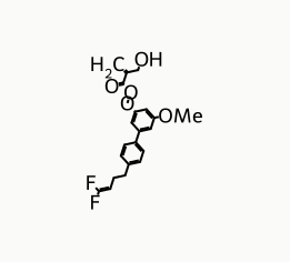 C=C(CO)C(=O)OOc1cc(OC)cc(-c2ccc(CCC=C(F)F)cc2)c1